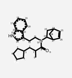 CC(CC1CCCC1)C(=O)N(CCc1c[nH]c2ccccc12)C1CC2C=CC1C2